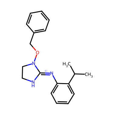 CC(C)c1ccccc1/N=C1\NCCN1OCc1ccccc1